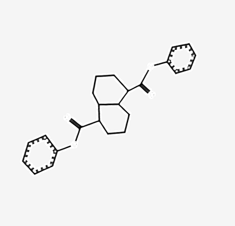 O=C(Oc1ccccc1)C1CCCC2C(C(=O)Oc3ccccc3)CCCC12